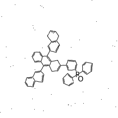 O=P(c1ccccc1)(c1ccccc1)c1cccc(C2=CCc3c(c(-c4ccc5c(c4)CC=CC5)c4ccccc4c3-c3ccc4ccccc4c3)C2)c1